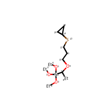 CCO[Si](OCC)(OCC)C(CC)OCCCSC1CC1